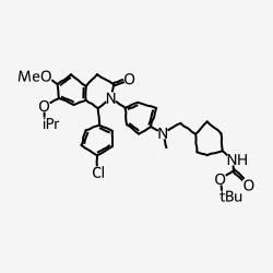 COc1cc2c(cc1OC(C)C)C(c1ccc(Cl)cc1)N(c1ccc(N(C)CC3CCC(NC(=O)OC(C)(C)C)CC3)cc1)C(=O)C2